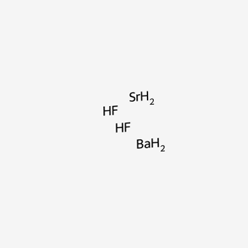 F.F.[BaH2].[SrH2]